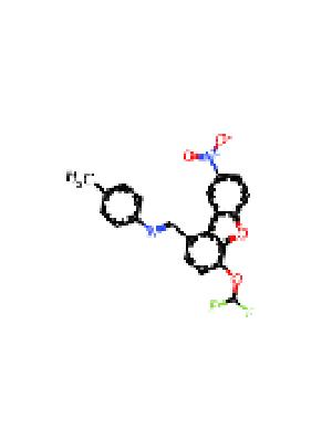 Cc1ccc(/N=C/c2ccc(OC(F)F)c3oc4ccc([N+](=O)[O-])cc4c23)cc1